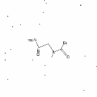 C=NC(=O)CN(C)C(=O)CC